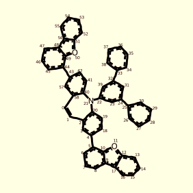 C1=Cc2cc(-c3cccc4c3oc3ccccc34)ccc2N(c2cc(-c3ccccc3)cc(-c3ccccc3)c2)c2ccc(-c3cccc4c3oc3ccccc34)cc21